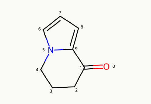 O=C1CCCn2cccc21